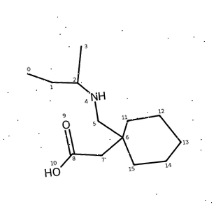 CCC(C)NCC1(CC(=O)O)CCCCC1